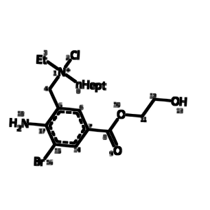 CCCCCCC[N+](Cl)(CC)Cc1cc(C(=O)OCCO)cc(Br)c1N